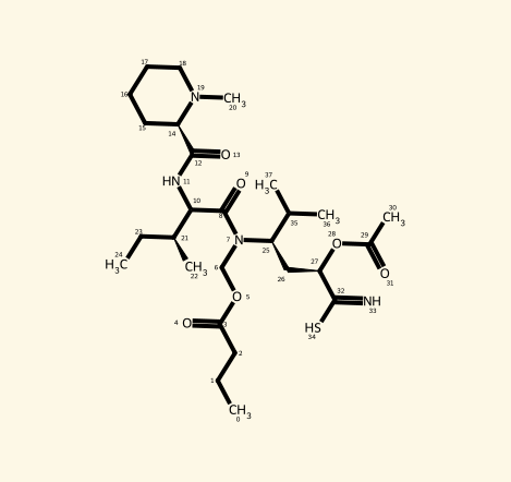 CCCC(=O)OCN(C(=O)C(NC(=O)[C@H]1CCCCN1C)[C@@H](C)CC)[C@H](C[C@@H](OC(C)=O)C(=N)S)C(C)C